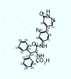 O=C(O)NC(C(=O)Nc1ccc(-c2cn[nH]c(=O)c2)c(F)c1)C(c1ccccc1)c1ccccc1